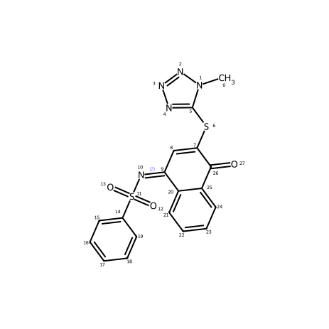 Cn1nnnc1SC1=C/C(=N/S(=O)(=O)c2ccccc2)c2ccccc2C1=O